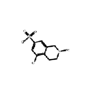 CC(=O)N1CCc2c(Cl)cc(S(=O)(=O)Cl)cc2C1